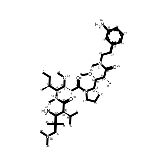 CC[C@H](C)[C@@H]([C@@H](CC(=O)N1CCC[C@H]1[C@H](OC)[C@@H](C)C(=O)N(C)CCc1cccc(N)c1)OC)N(C)C(=O)[C@@H](C(C)C)C(N)C(C)(C)CN(C)C